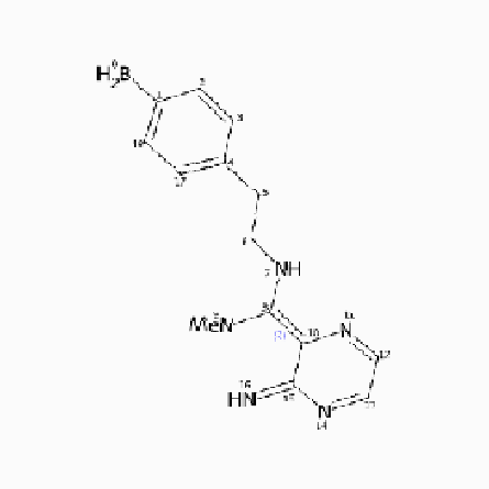 Bc1ccc(CCN/C(NC)=C2\N=CC=NC2=N)cc1